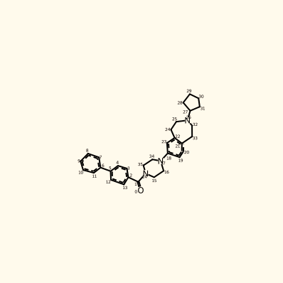 O=C(c1ccc(-c2ccccc2)cc1)N1CCN(c2ccc3c(c2)CCN(C2CCCC2)CC3)CC1